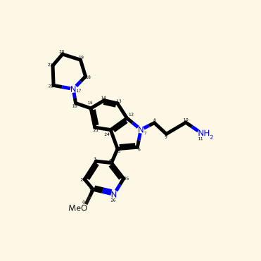 COc1ccc(-c2cn(CCCN)c3ccc(CN4CCCCC4)cc23)cn1